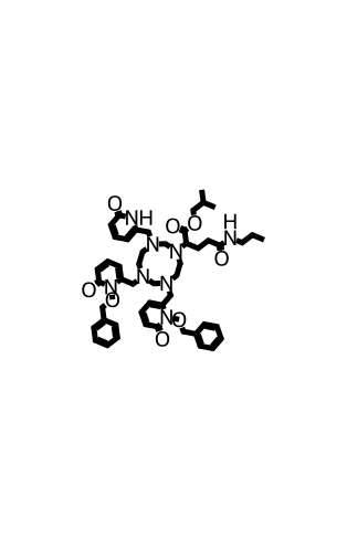 CCCNC(=O)CCC(C(=O)OCC(C)C)N1CCN(Cc2cccc(=O)n2OCc2ccccc2)CN(Cc2cccc(=O)n2OCc2ccccc2)CCN(Cc2cccc(=O)[nH]2)C1